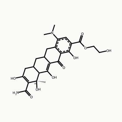 CN(C)c1cc(C(=O)OCCO)c(O)c2c1CC1CC3CC(O)=C(C(N)=O)[C@](C)(O)C3C(O)=C1C2=O